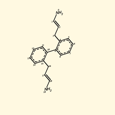 NC=CCc1ccccc1-c1ccccc1CC=CN